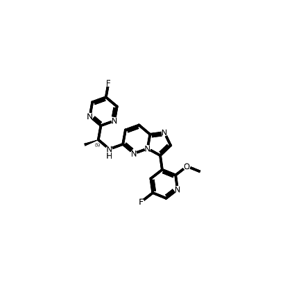 COc1ncc(F)cc1-c1cnc2ccc(N[C@@H](C)c3ncc(F)cn3)nn12